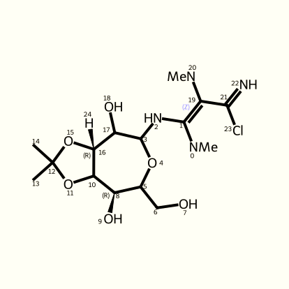 CN/C(NC1OC(CO)[C@@H](O)C2OC(C)(C)O[C@@H]2C1O)=C(/NC)C(=N)Cl